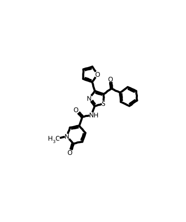 Cn1cc(C(=O)Nc2nc(-c3ccco3)c(C(=O)c3ccccc3)s2)ccc1=O